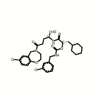 O=C[C@H](CCC(=O)N1CCOc2ccc(Cl)cc2C1)NC(=O)[C@H](CC1CCCCC1)OC(=O)NCc1cccc(Cl)c1